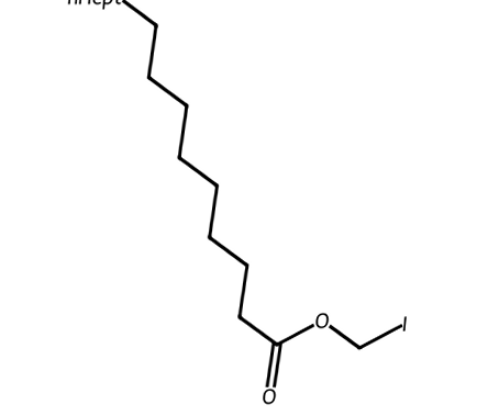 CCCCCCCCCCCCCCCC(=O)OCI